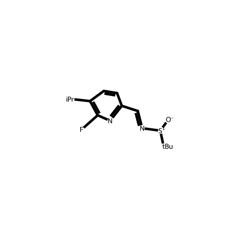 CC(C)c1ccc(C=N[S+]([O-])C(C)(C)C)nc1F